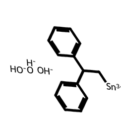 [OH-].[OH-].[OH-].[Sn+3][CH2]C(c1ccccc1)c1ccccc1